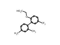 Cc1ccc(-c2cc(C(F)(F)F)ccc2OCC(=O)O)c(C)c1